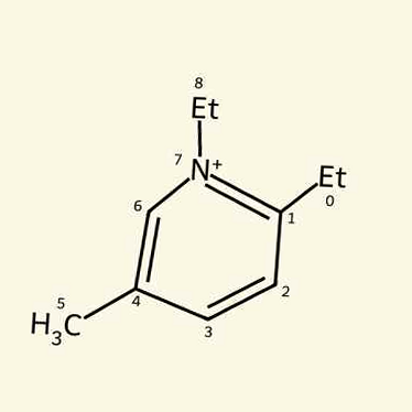 CCc1ccc(C)c[n+]1CC